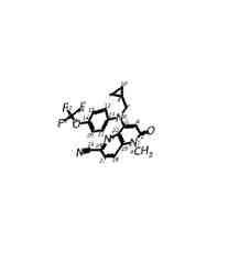 Cn1c(=O)cc(N(CC2CC2)c2ccc(OC(F)(F)F)cc2)c2nc(C#N)ccc21